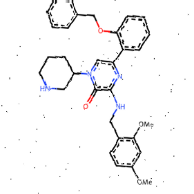 COc1ccc(CNc2nc(-c3ccccc3OCc3ccccc3)cn(C3CCCNC3)c2=O)c(OC)c1